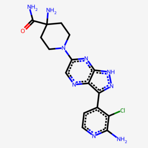 NC(=O)C1(N)CCN(c2cnc3c(-c4ccnc(N)c4Cl)n[nH]c3n2)CC1